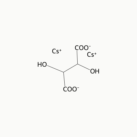 O=C([O-])C(O)C(O)C(=O)[O-].[Cs+].[Cs+]